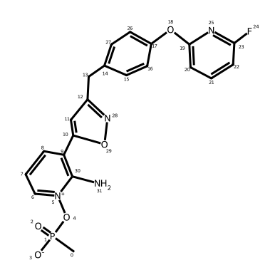 CP(=O)([O-])O[n+]1cccc(-c2cc(Cc3ccc(Oc4cccc(F)n4)cc3)no2)c1N